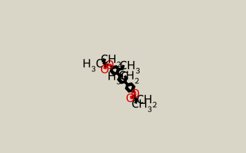 C=C(C)C(=O)Oc1ccc(C(/C=C\C(=C)c2ccc(OC(=O)C(=C)C)cc2CC)=C/C)cc1